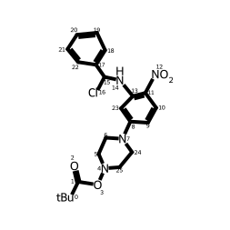 CC(C)(C)C(=O)ON1CCN(c2ccc([N+](=O)[O-])c(NC(Cl)c3ccccc3)c2)CC1